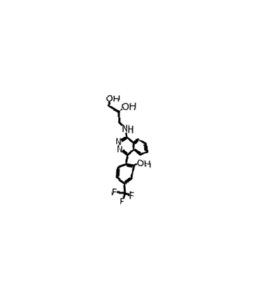 OC[C@H](O)CNc1nnc(-c2ccc(C(F)(F)F)cc2O)c2ccccc12